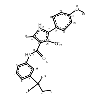 CCC(F)(F)c1cccc(NC(=O)c2c(C)[nH]c(-c3ccc(OC)cc3)[n+]2[O-])c1